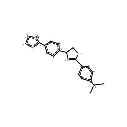 CN(C)c1ccc(C2=NC(c3ccc(-c4nnn[nH]4)cc3)CS2)cc1